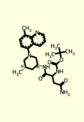 Cc1ccc(N2C[C@@H](C)C[C@@H](NC(=O)C(CC(N)=O)NC(=O)OC(C)(C)C)C2)c2cccnc12